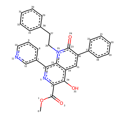 COC(=O)c1nc(-c2cccnc2)c2c(cc(-c3ccccc3)c(=O)n2CCc2ccccc2)c1O